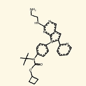 CC(C)(C)N(C(=O)OC1CCC1)c1ccc(-n2c(-c3ccccn3)cc3cnc(NCCN)nc32)cc1